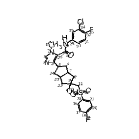 Cn1cnc(C2CC3CC(O)(CS(=O)(=O)c4ccc(F)cc4)CC3C2)c1C(=O)Nc1ccc(F)c(Cl)c1